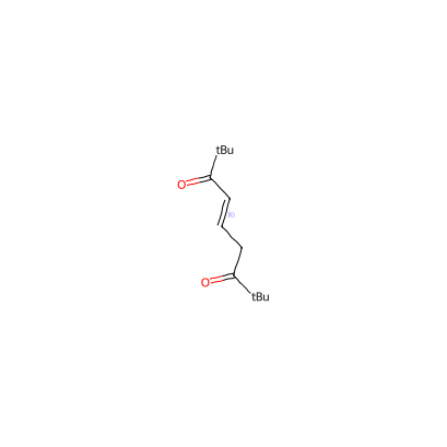 CC(C)(C)C(=O)/C=C/CC(=O)C(C)(C)C